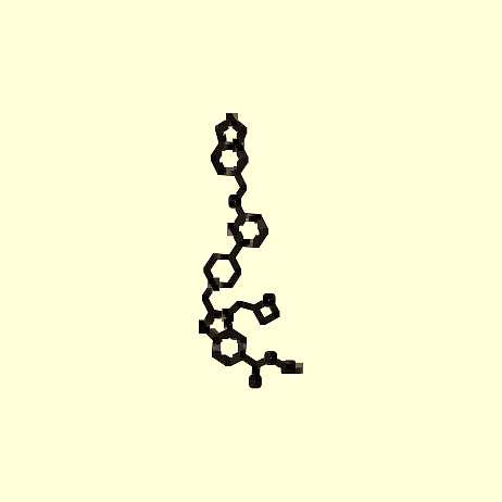 CC(C)(C)OC(=O)c1ccc2nc(CN3CCC(c4cccc(OCc5ccc6cncn6c5)n4)CC3)n(CC3CCO3)c2c1